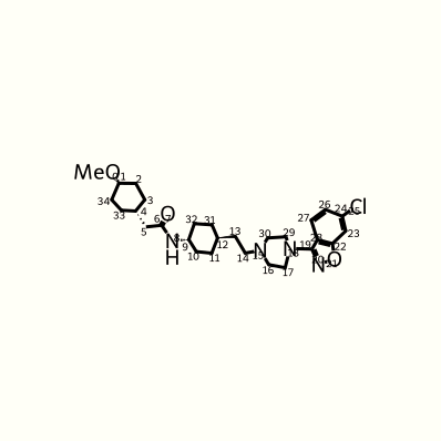 CO[C@H]1CC[C@H](CC(=O)N[C@H]2CC[C@H](CCN3CCN(c4noc5cc(Cl)ccc45)CC3)CC2)CC1